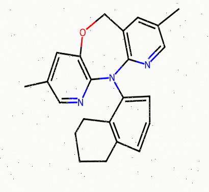 Cc1cnc2c(c1)COc1cc(C)cnc1N2c1cccc2c1CCCC2